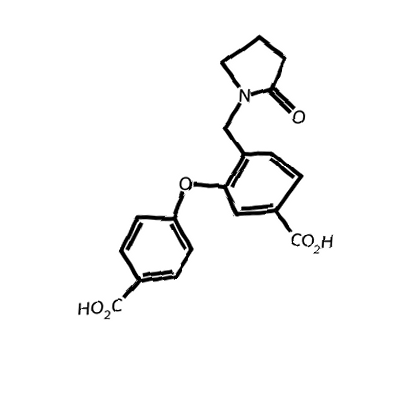 O=C(O)c1ccc(Oc2cc(C(=O)O)ccc2CN2CCCC2=O)cc1